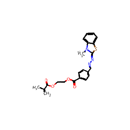 C=C(C)C(=O)OCCOC(=O)c1ccc(C=NN=c2sc3ccccc3n2C)cc1